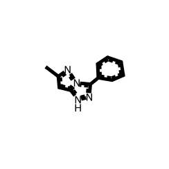 Cc1cc2[nH]nc(-c3ccccc3)n2n1